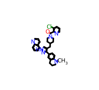 CN1CCCc2cc(-c3n[nH]cc3CC3CCN(C(=O)c4ncccc4Cl)CC3)ccc21.c1ccc2ncccc2c1